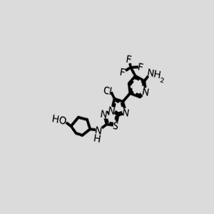 Nc1ncc(-c2nc3sc(NC4CCC(O)CC4)nn3c2Cl)cc1C(F)(F)F